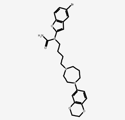 NC(=O)N(CCCCN1CCCN(c2ccc3c(c2)OCCO3)CC1)c1cc2cc(Br)ccc2o1